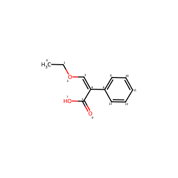 CCOC=C(C(=O)O)c1ccccc1